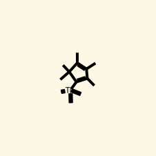 [CH2]=[Ti](=[CH2])(=[CH2])[C]1=C(C)C(C)=C(C)C1(C)C